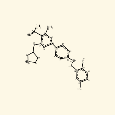 CC(=N)c1c(N)nc(-c2ccc(NSc3cc(Cl)ccc3F)cc2)nc1OC1CCNC1